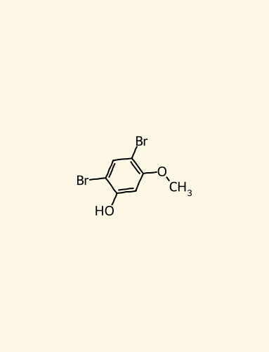 COc1cc(O)c(Br)cc1Br